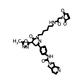 Cc1nnc(C2CC(c3ccc(NC(=O)N4Cc5ccncc5C4)cc3)=NN(CCCCCCNC(=O)CN3C(=O)C=CC3=O)C2=O)o1